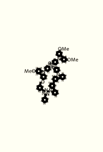 COc1ccc2c(c1)c1cc(OC)ccc1n2-c1ccc(S(=O)(=O)c2ccc(-n3c4ccc(OC)cc4c4cc(OCc5cccc(-c6nc(-c7ccccc7)nc(-n7c8ccccc8c8cc(-c9ccc%10c(c9)c9ccccc9n%10-c9ccccc9)ccc87)n6)c5)ccc43)cc2)cc1